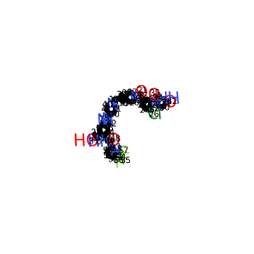 CC(C)(O)c1cc2nn(C3CCN(CC4CC5(CCN(C(=O)c6ccc(Cl)c(N7CCC(=O)NC7=O)c6)CC5)C4)CC3)cc2cc1NC(=O)c1cccc(C(F)(F)F)n1